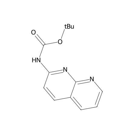 CC(C)(C)OC(=O)Nc1ccc2cccnc2n1